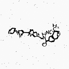 C[C@@]1(C#N)COCc2ccc(C(=O)NCc3cc4nc(-c5cnn(-c6cccnc6)c5)ccc4cn3)cc21